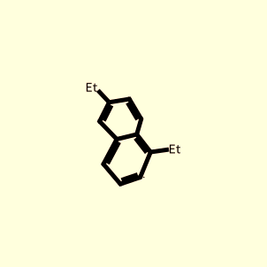 CCc1ccc2c(CC)[c]ccc2c1